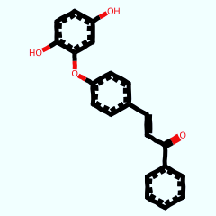 O=C(C=Cc1ccc(Oc2cc(O)ccc2O)cc1)c1ccccc1